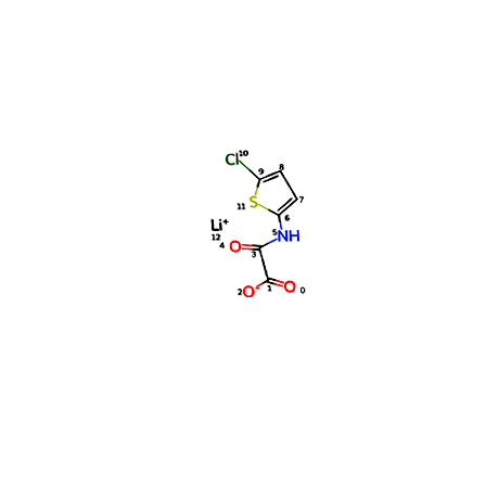 O=C([O-])C(=O)Nc1ccc(Cl)s1.[Li+]